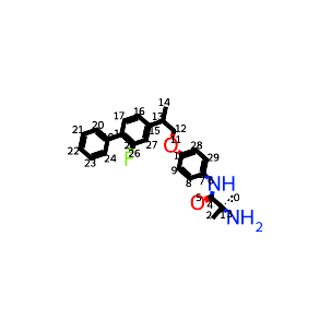 [CH2][C@@](C)(N)C(=O)Nc1ccc(OCC(C)c2ccc(-c3ccccc3)c(F)c2)cc1